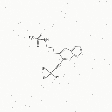 CC(C)[Si](C#Cc1cc2ccccc2cc1CCCNS(=O)(=O)C(F)(F)F)(C(C)C)C(C)C